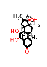 CC(=O)[C@@]1(O)[C@H](C)C[C@H]2[C@@H]3[C@@H](O)[C@@H](O)C4=CC(=O)CC[C@]4(C)[C@H]3CC[C@@]21C